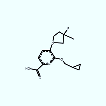 O=C(O)c1ccc(N2CCC(F)(F)C2)c(OCC2CC2)n1